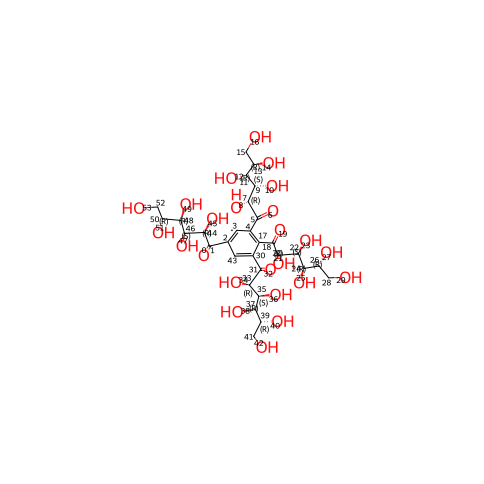 O=C(c1[c]c(C(=O)[C@H](O)[C@@H](O)[C@H](O)[C@H](O)CO)c(C(=O)[C@H](O)[C@@H](O)[C@H](O)[C@H](O)CO)c(C(=O)[C@H](O)[C@@H](O)[C@H](O)[C@H](O)CO)c1)[C@H](O)[C@@H](O)[C@H](O)[C@H](O)CO